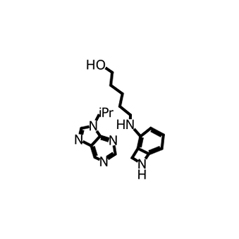 CC(C)n1cnc2cncnc21.OCCCCCNc1cccc2c1CN2